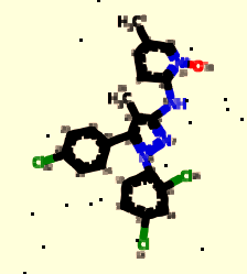 Cc1ccc(Nc2nn(-c3ccc(Cl)cc3Cl)c(-c3ccc(Cl)cc3)c2C)[n+]([O-])c1